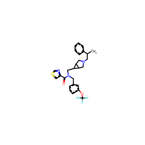 CC(CN1CC2C(C1)C2CN(Cc1cccc(OC(F)(F)F)c1)C(=O)c1cscn1)c1ccccc1